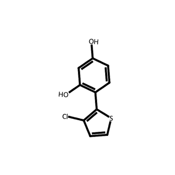 Oc1ccc(-c2sccc2Cl)c(O)c1